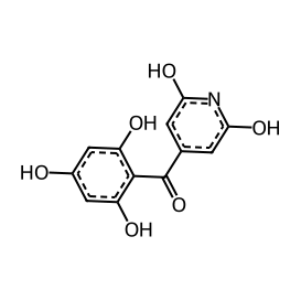 O=C(c1cc(O)nc(O)c1)c1c(O)cc(O)cc1O